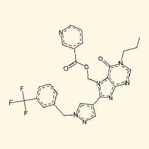 CCCn1cnc2nc(-c3cnn(Cc4cccc(C(F)(F)F)c4)c3)n(COC(=O)c3cccnc3)c2c1=O